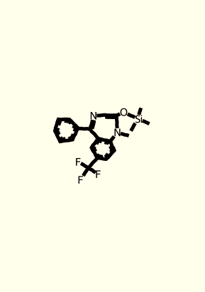 CN1C(O[Si](C)(C)C)=CN=C(c2ccccc2)c2cc(C(F)(F)F)ccc21